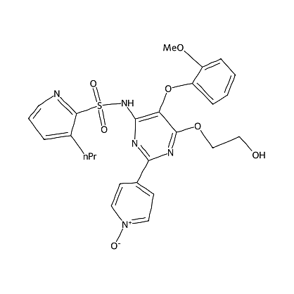 CCCc1cccnc1S(=O)(=O)Nc1nc(-c2cc[n+]([O-])cc2)nc(OCCO)c1Oc1ccccc1OC